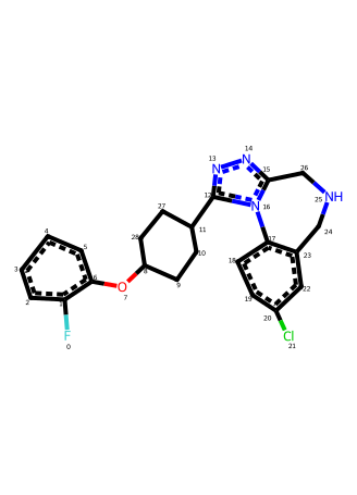 Fc1ccccc1OC1CCC(c2nnc3n2-c2ccc(Cl)cc2CNC3)CC1